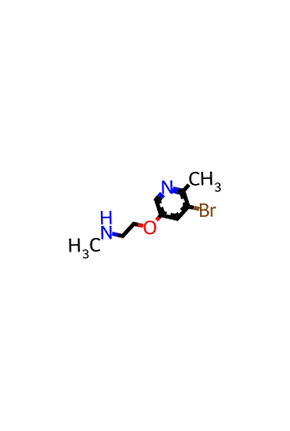 CNCCOc1cnc(C)c(Br)c1